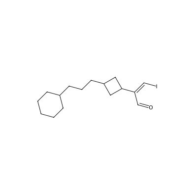 O=CC(=CI)C1CC(CCCC2CCCCC2)C1